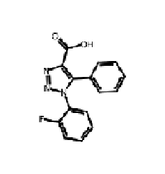 O=C(O)c1nnn(-c2ccccc2F)c1-c1ccccc1